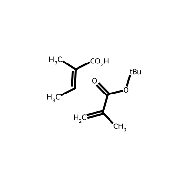 C=C(C)C(=O)OC(C)(C)C.CC=C(C)C(=O)O